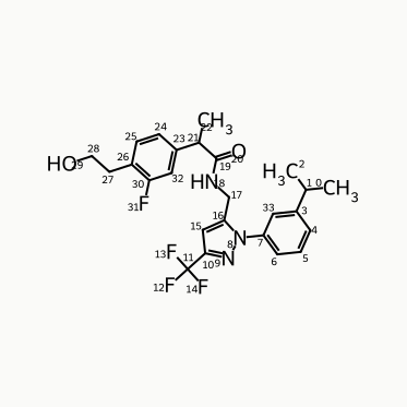 CC(C)c1cccc(-n2nc(C(F)(F)F)cc2CNC(=O)C(C)c2ccc(CCO)c(F)c2)c1